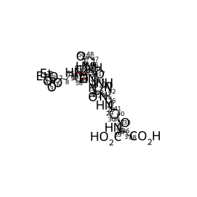 CCOP(=O)(OCC)OCCCCNC(=O)C1C(C(=O)Nc2nc(=O)c3nc(CNc4ccc(C(=O)N[C@H](CCC(=O)O)C(=O)O)cc4)cnc3[nH]2)[C@H]2C=CC(=O)[C@@H]1N2Cc1ccccc1